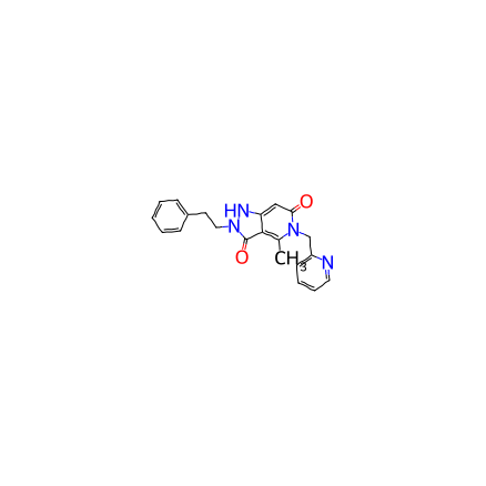 Cc1c2c(=O)n(CCc3ccccc3)[nH]c2cc(=O)n1Cc1ccccn1